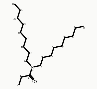 C[CH]C(=O)N(CCCCCCCCC)CCCCCCCCC